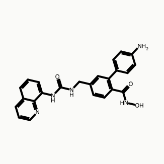 Nc1ccc(-c2cc(CNC(=O)Nc3cccc4cccnc34)ccc2C(=O)NO)cc1